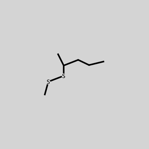 CCCC(C)SSC